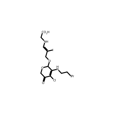 CC(C)CCNC1=C(Cl)C(=O)COC1OC/C(I)=C/NCC(=O)O